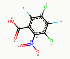 O=C(O)c1c(F)c(Cl)c(F)c(Cl)c1[N+](=O)[O-]